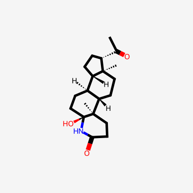 CC(=O)[C@H]1CC[C@H]2[C@@H]3CC[C@@]4(O)NC(=O)CC[C@]4(C)[C@H]3CC[C@]12C